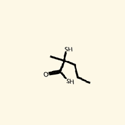 CCCC(C)(S)C(=O)S